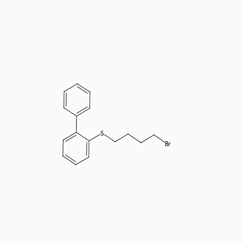 BrCCCCSc1ccccc1-c1ccccc1